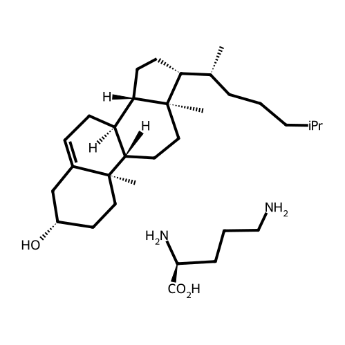 CC(C)CCC[C@@H](C)[C@H]1CC[C@H]2[C@@H]3CC=C4C[C@@H](O)CC[C@]4(C)[C@H]3CC[C@]12C.NCCC[C@H](N)C(=O)O